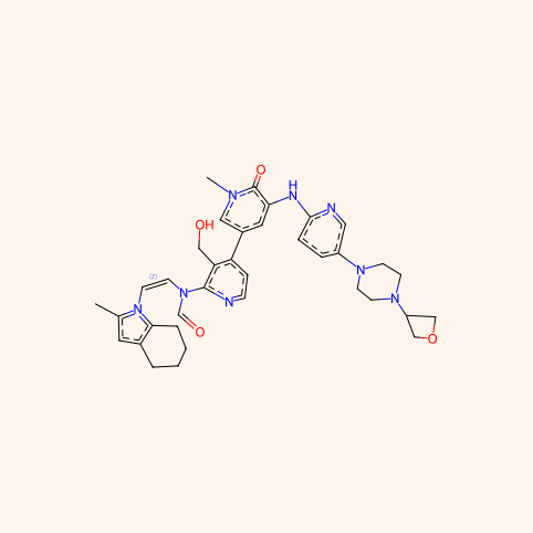 Cc1cc2c(n1/C=C\N(C=O)c1nccc(-c3cc(Nc4ccc(N5CCN(C6COC6)CC5)cn4)c(=O)n(C)c3)c1CO)CCCC2